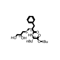 CCCC[C@H](NC(=O)[C@@H](CSC[C@@H](O)CO)Cc1ccccc1)C(=O)OC(C)(C)C